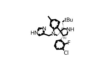 Cc1ccc2c(c1)N(Cc1c[nH]cn1)C[C@@]21[C@H](CC(C)(C)C)NC[C@@H]1c1cccc(Cl)c1F